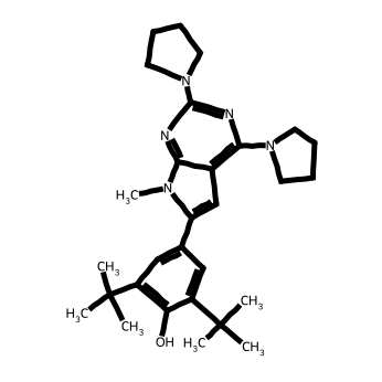 Cn1c(-c2cc(C(C)(C)C)c(O)c(C(C)(C)C)c2)cc2c(N3CCCC3)nc(N3CCCC3)nc21